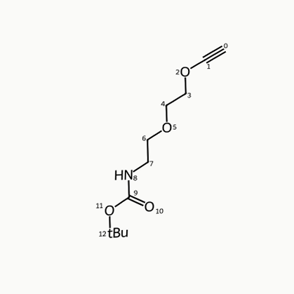 C#COCCOCCNC(=O)OC(C)(C)C